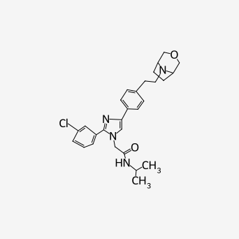 CC(C)NC(=O)Cn1cc(-c2ccc(CCN3C4CCC3COC4)cc2)nc1-c1cccc(Cl)c1